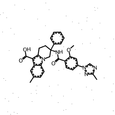 COc1cc(-n2cnc(C)n2)ccc1C(=O)NC1(c2ccccc2)CCc2c(C(=O)O)c3cc(C)ccc3n2C1